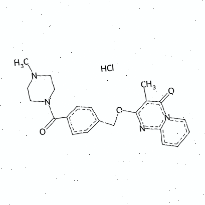 Cc1c(OCc2ccc(C(=O)N3CCN(C)CC3)cc2)nc2ccccn2c1=O.Cl